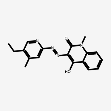 CCc1cnc(N=Nc2c(O)c3ccccc3n(C)c2=O)cc1C